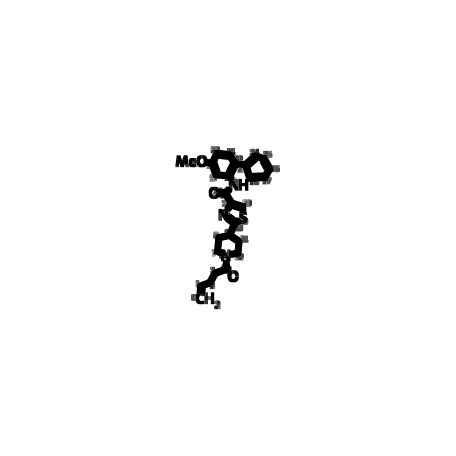 C=CCCC(=O)N1CCC(c2nc(C(=O)Nc3cc(OC)ccc3-c3ccccc3)cs2)CC1